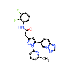 Cc1cccc(-n2nc(CC(=O)Nc3cccc(F)c3F)cc2-c2ccc3ncnn3c2)n1